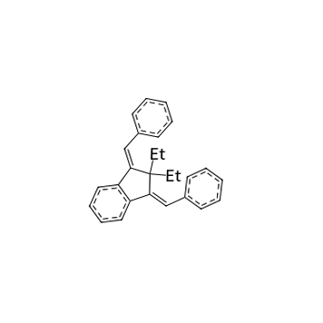 CCC1(CC)C(=Cc2ccccc2)c2ccccc2C1=Cc1ccccc1